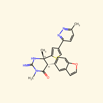 Cc1ccc(-c2csc([C@@]3(C)NC(=N)N(C)C(=O)[C@H]3c3ccc4occc4c3)c2)nn1